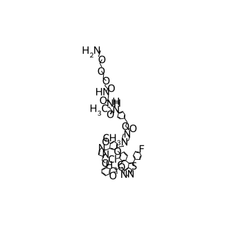 COc1ccccc1-c1nccc(COc2ccccc2CC(C=O)Oc2ncnc3sc(-c4ccc(F)cc4)c(-c4ccc(OCCN5CCN(C(=O)OCc6ccc(NC(=O)C(C)NC(=O)CNC(=O)COCCOCCOCCN)cc6)CC5)c(Cl)c4C)c23)n1